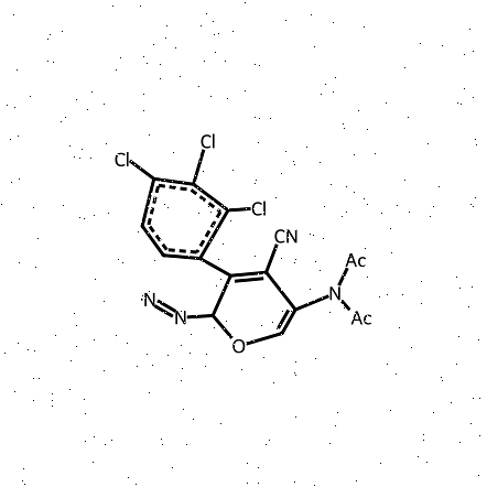 CC(=O)N(C(C)=O)C1=COC(N=[N])C(c2ccc(Cl)c(Cl)c2Cl)=C1C#N